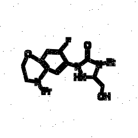 CCN1C(=O)N(c2cc3c(cc2F)OCCN3C(C)C)NC1CO